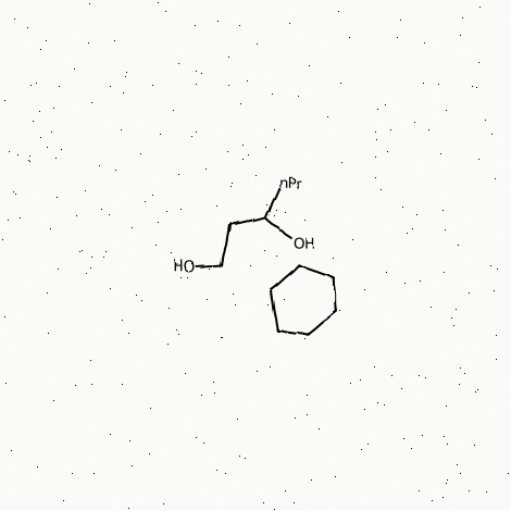 C1CCCCC1.CCCC(O)CCO